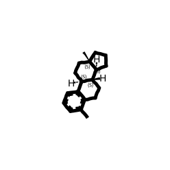 Cc1cccc2c1CC[C@@H]1[C@@H]2CC[C@]2(C)CCC[C@@H]12